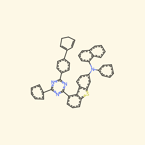 C1=CC(c2ccc(-c3nc(-c4ccccc4)nc(-c4cccc5sc6cc(N(c7ccccc7)c7cccc8ccccc78)ccc6c45)n3)cc2)=CCC1